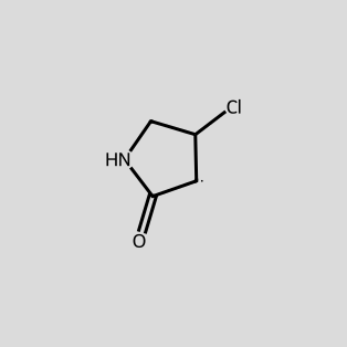 O=C1[CH]C(Cl)CN1